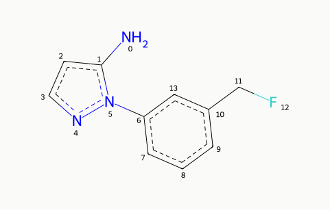 Nc1ccnn1-c1cccc(CF)c1